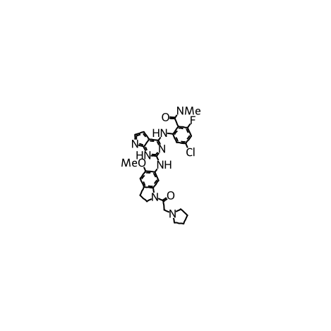 CNC(=O)c1c(F)cc(Cl)cc1Nc1nc(Nc2cc3c(cc2OC)CCN3C(=O)CN2CCCC2)[nH]c2nccc1-2